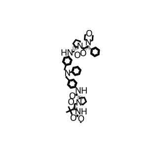 COC(=O)N[C@H](C(=O)N1CCC[C@H]1C(=O)Nc1ccc(CN(Cc2ccc(NC(=O)[C@@H]3CCCN3C(=O)[C@@H](c3ccccc3)N3CCOCC3)cc2)c2ccccc2)cc1)C(C)(C)C